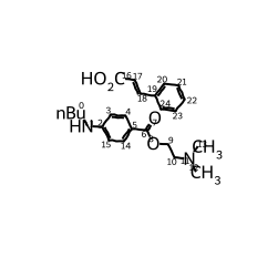 CCCCNc1ccc(C(=O)OCCN(C)C)cc1.O=C(O)/C=C/c1ccccc1